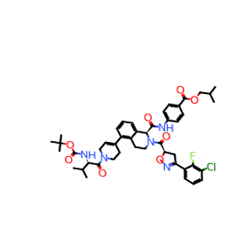 CC(C)COC(=O)c1ccc(NC(=O)[C@@H]2c3cccc(C4=CCN(C(=O)[C@@H](NC(=O)OC(C)(C)C)C(C)C)CC4)c3CCN2C(=O)[C@H]2CC(c3cccc(Cl)c3F)=NO2)cc1